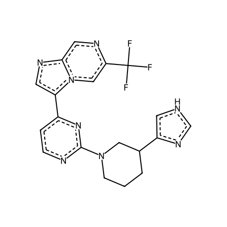 FC(F)(F)c1cn2c(-c3ccnc(N4CCCC(c5c[nH]cn5)C4)n3)cnc2cn1